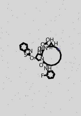 O=C1N[C@]2(C(=O)O)C[C@H]2/C=C\CCCCC[C@H](Nc2ccccc2F)C(=O)N2C[C@H](Oc3nc4ccccc4s3)C[C@@H]12